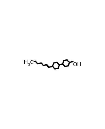 CCCCCC=CC1CCC(C2CCC(CO)CC2)CC1